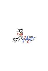 CN1CCN(C(=O)NCC(=O)N[C@H](/C=C/S(=O)(=O)c2ccccc2)CCc2ccccc2)CC1